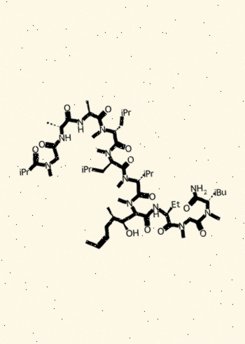 C/C=C\C[C@@H](C)[C@H](O)C(C(=O)N[C@@H](CC)C(=O)N(C)CC(=O)N(C)[C@H](C(N)=O)C(C)CC)N(C)C(=O)[C@@H](C(C)C)N(C)C(=O)[C@@H](CC(C)C)N(C)C(=O)[C@@H](CC(C)C)N(C)C(=O)[C@H](C)NC(=O)[C@@H](C)NC(=O)CN(C)C(=O)C(C)C